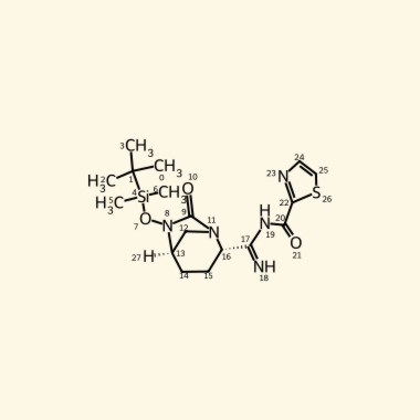 CC(C)(C)[Si](C)(C)ON1C(=O)N2C[C@H]1CC[C@H]2C(=N)NC(=O)c1nccs1